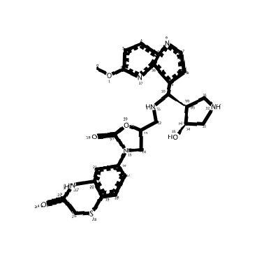 COc1ccc2nccc(C(NCC3CN(c4ccc5c(c4)NC(=O)CS5)C(=O)O3)[C@H]3CNC[C@H]3O)c2n1